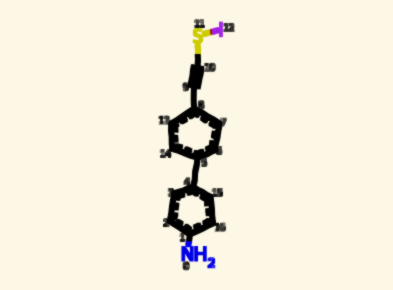 Nc1ccc(-c2ccc(C#CSI)cc2)cc1